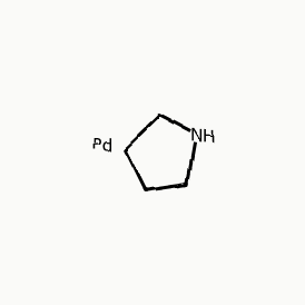 C1CCNC1.[Pd]